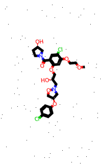 COCCOc1cc(OC[C@@H](O)CN2C[C@@H](Oc3ccc(Cl)cc3)CO2)c(C(=O)N2CC[C@H](O)C2)cc1Cl